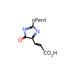 CCCCCC1=NC(=O)C(C=CC(=O)O)=N1